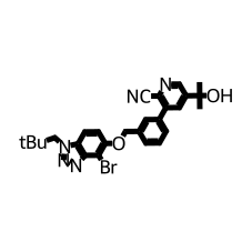 CC(C)(C)Cn1nnc2c(Br)c(OCc3cccc(-c4cc(C(C)(C)O)cnc4C#N)c3)ccc21